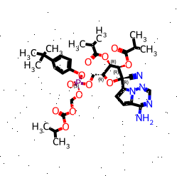 CC(C)OC(=O)OCO[P@@](=O)(OC[C@H]1O[C@@](C#N)(c2ccc3c(N)ncnn23)[C@H](OC(=O)C(C)C)[C@@H]1OC(=O)C(C)C)Oc1ccc(C(C)(C)C)cc1